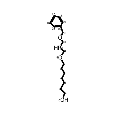 OCCCCCCCOCPCOCc1ccccc1